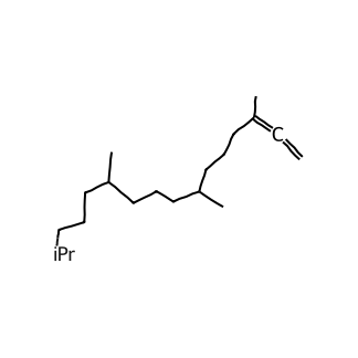 C=C=C(C)CCCC(C)CCCC(C)CCCC(C)C